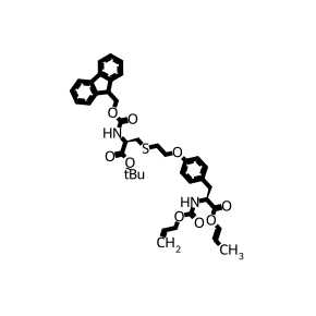 C=CCOC(=O)N[C@@H](Cc1ccc(OCCSC[C@H](NC(=O)OCC2c3ccccc3-c3ccccc32)C(=O)OC(C)(C)C)cc1)C(=O)OC=CC